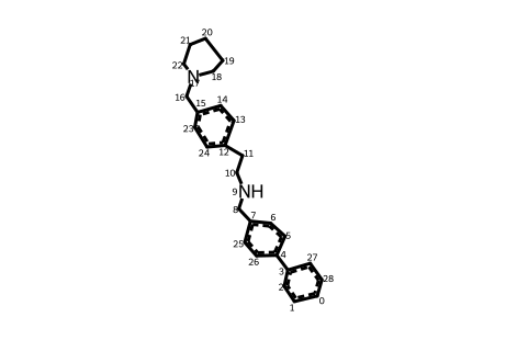 c1ccc(-c2ccc(CNCCc3ccc(CN4CCCCC4)cc3)cc2)cc1